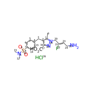 Cc1c(Cc2ccc(S(=O)(=O)N(C)C)cc2)c(C(=O)O)nn1C/C(F)=C/CN.Cl